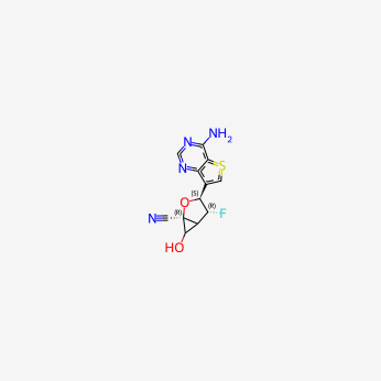 N#C[C@]12O[C@@H](c3csc4c(N)ncnc34)[C@H](F)C1C2O